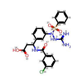 N=C(N)NN(c1cccc(C(CC(=O)O)NC(=O)c2cccc(Cl)c2)c1)S(=O)(=O)c1ccccc1